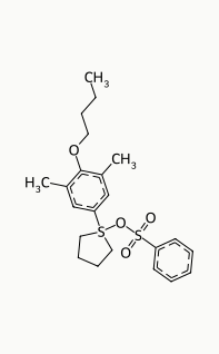 CCCCOc1c(C)cc(S2(OS(=O)(=O)c3ccccc3)CCCC2)cc1C